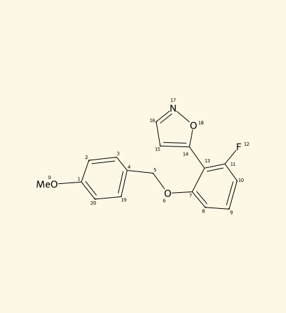 COc1ccc(COc2cccc(F)c2-c2ccno2)cc1